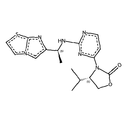 CC(C)[C@H]1COC(=O)N1c1ccnc(N[C@@H](C)c2cn3ccsc3n2)n1